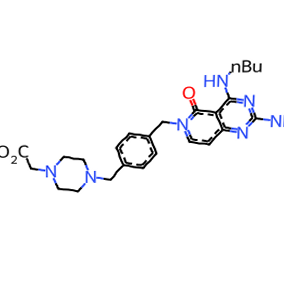 CCCCNc1nc(N)nc2ccn(Cc3ccc(CN4CCN(CC(=O)O)CC4)cc3)c(=O)c12